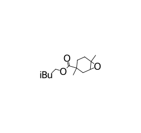 CCC(C)COC(=O)C1(C)CCC2(C)OC2C1